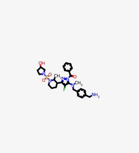 CC1C(c2nn(C(=O)c3ccccc3)c(N(C)Cc3ccc(CN)cc3)c2F)CCCN1S(=O)(=O)N1CCC(O)C1